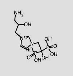 NCC(O)C[n+]1ccn(CC(O)(P(=O)(O)O)P(=O)(O)O)c1